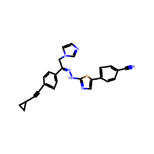 N#Cc1ccc(-c2cnc(N/N=C(/Cn3ccnc3)c3ccc(C#CC4CC4)cc3)s2)cc1